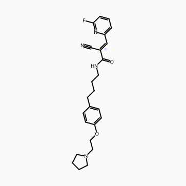 N#C/C(=C\c1cccc(F)n1)C(=O)NCCCCc1ccc(OCCN2CCCC2)cc1